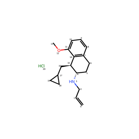 C=CCN[C@H]1CCc2cccc(OC)c2[C@@H]1CC1CC1.Cl